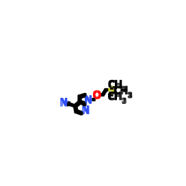 CS(C)(C)CCOCn1ccc2c(C#N)ccnc21